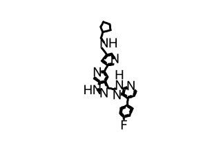 Fc1ccc(-c2ccnc3[nH]c(-c4n[nH]c5cnc(-c6cncc(CNCC7CCCC7)c6)cc45)nc23)cc1